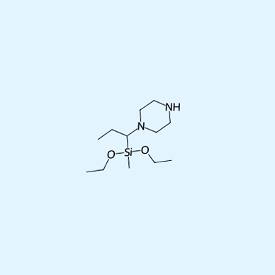 CCO[Si](C)(OCC)C(CC)N1CCNCC1